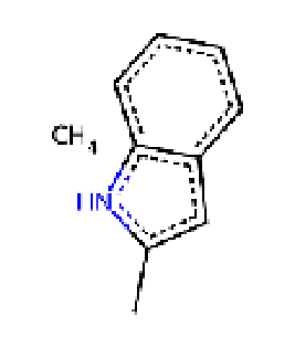 C.Cc1cc2ccccc2[nH]1